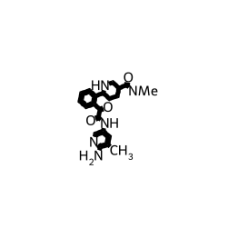 CNC(=O)C1CCC(c2ccccc2C(=O)C(=O)Nc2cnc(N)c(C)c2)NC1